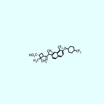 C[C@H](N[C@@H]1C[C@@H](C(=O)O)C1(C)C)c1ccc2ccc(OC3CCC(C(F)(F)F)CC3)c(C(F)(F)F)c2c1